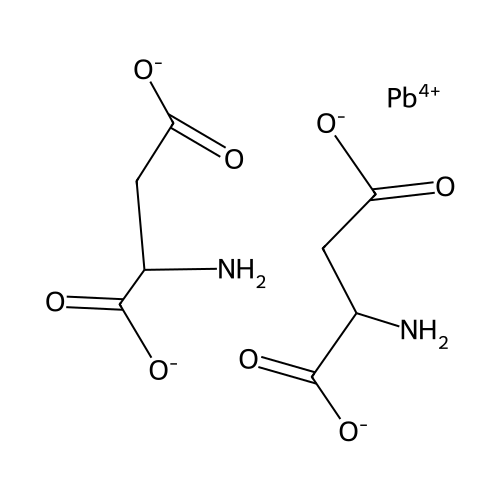 NC(CC(=O)[O-])C(=O)[O-].NC(CC(=O)[O-])C(=O)[O-].[Pb+4]